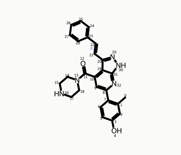 Cc1cc(O)ccc1-c1cc(C(=O)N2CCNCC2)c2c(/C=C/c3ccccc3)n[nH]c2n1